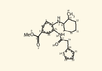 COC(=O)c1ccc(NC2CCCCC2C)c(NC(=O)Cc2cccs2)c1